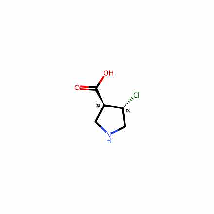 O=C(O)[C@@H]1CNC[C@H]1Cl